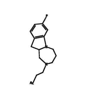 CC(=O)CCN1CCCN2c3cc(F)ccc3CC2C1